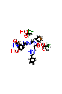 O=C(CCNCCc1ccccc1)N(CCNCCc1ccc(O)c2[nH]c(=O)sc12)C1CCSCC1.O=C(O)C(F)(F)F.O=C(O)C(F)(F)F